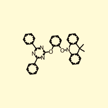 CC1(C)c2ccccc2N(Oc2ccccc2Oc2nc(-c3ccccc3)nc(-c3ccccc3)n2)c2ccccc21